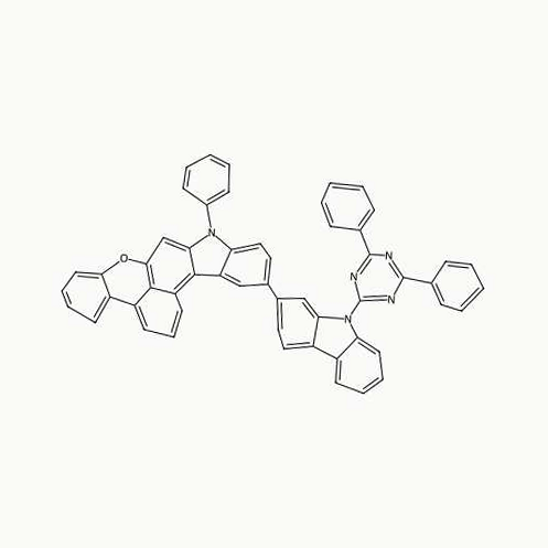 c1ccc(-c2nc(-c3ccccc3)nc(-n3c4ccccc4c4ccc(-c5ccc6c(c5)c5c7cccc8c7c(cc5n6-c5ccccc5)Oc5ccccc5-8)cc43)n2)cc1